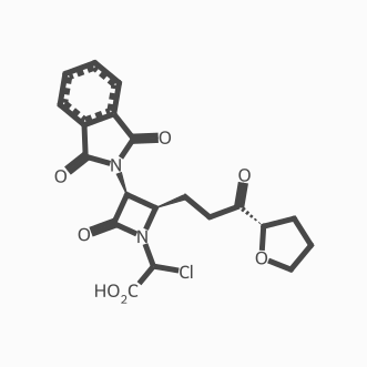 O=C(O)C(Cl)N1C(=O)[C@@H](N2C(=O)c3ccccc3C2=O)[C@H]1CCC(=O)[C@@H]1CCCO1